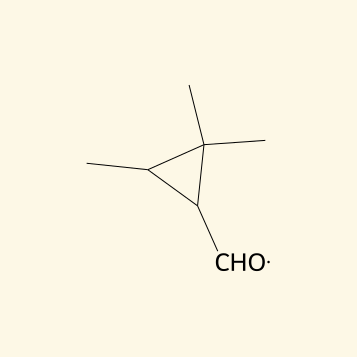 CC1C([C]=O)C1(C)C